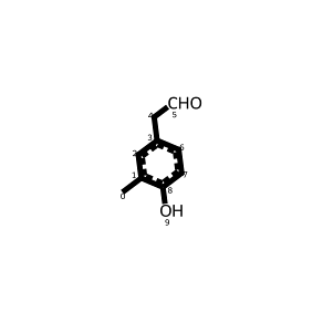 Cc1cc(CC=O)ccc1O